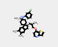 Cc1cc2c(cc1C)C1(CCC(Nc3cccc(Cl)c3)(C(=O)O)CC1)[C@@H](C[C@@H](C)COc1ccnc3ccsc13)C2